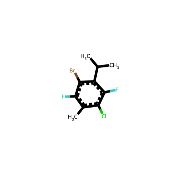 Cc1c(F)c(Br)c(C(C)C)c(F)c1Cl